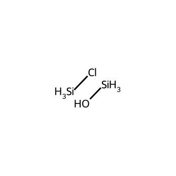 O[SiH3].[SiH3]Cl